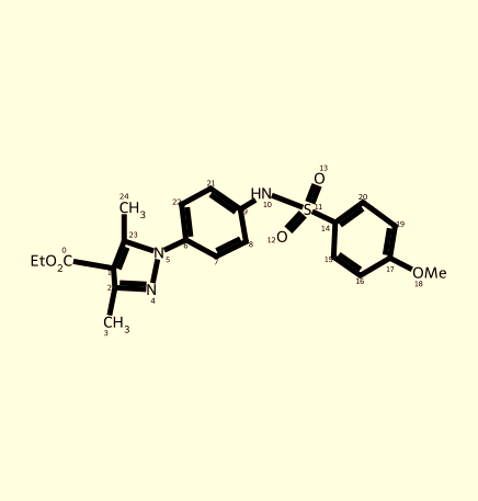 CCOC(=O)c1c(C)nn(-c2ccc(NS(=O)(=O)c3ccc(OC)cc3)cc2)c1C